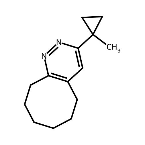 CC1(c2cc3c(nn2)CCCCCC3)CC1